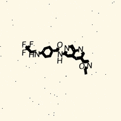 Cc1ncc(-c2cnc3cnc(NC(=O)C4CCC(NCCC(F)(F)F)CC4)cc3c2)o1